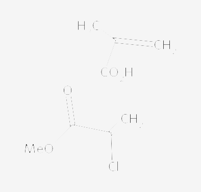 C=C(C)C(=O)O.C=C(Cl)C(=O)OC